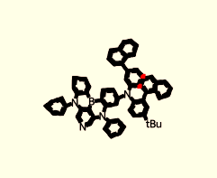 CC(C)(C)c1ccc(N(c2cccc(-c3cccc4ccccc34)c2)c2ccc3c(c2)N(c2ccccc2)c2cncc4c2B3c2ccccc2N4c2ccccc2)c(-c2cccc3ccccc23)c1